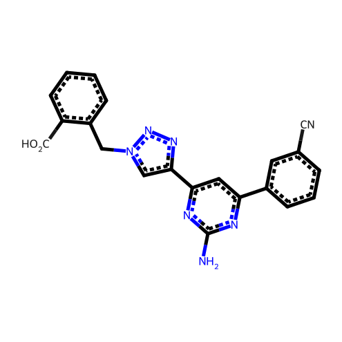 N#Cc1cccc(-c2cc(-c3cn(Cc4ccccc4C(=O)O)nn3)nc(N)n2)c1